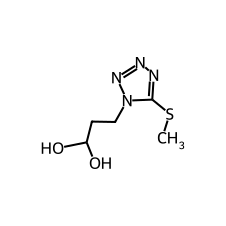 CSc1nnnn1CCC(O)O